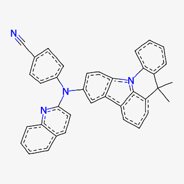 CC1(C)c2ccccc2-n2c3ccc(N(c4ccc(C#N)cc4)c4ccc5ccccc5n4)cc3c3cccc1c32